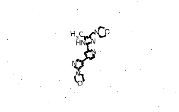 Cc1[nH]c(-c2cc(-c3cncc(N4CCOCC4)c3)ccn2)nc1CN1CCOCC1